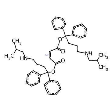 CC(C)CNCCCC(OC(=O)/C=C\C(=O)OC(CCCNCC(C)C)(c1ccccc1)c1ccccc1)(c1ccccc1)c1ccccc1